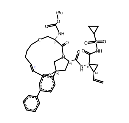 C=C[C@@H]1C[C@]1(NC(=O)[C@@H]1C[C@@]2(c3ccc(-c4ccccc4)cc3)CN1C(=O)[C@@H](NC(=O)OC(C)(C)C)CCCCC/C=C/CS2)C(=O)NS(=O)(=O)C1CC1